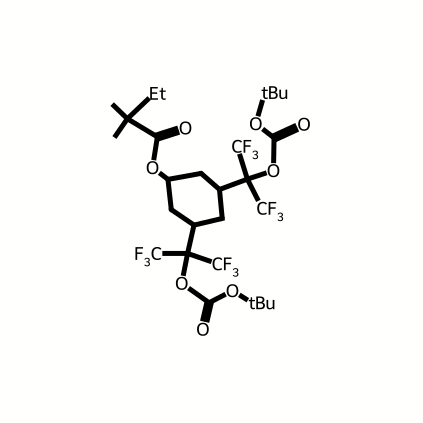 CCC(C)(C)C(=O)OC1CC(C(OC(=O)OC(C)(C)C)(C(F)(F)F)C(F)(F)F)CC(C(OC(=O)OC(C)(C)C)(C(F)(F)F)C(F)(F)F)C1